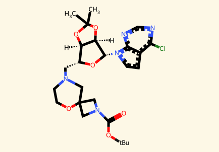 CC(C)(C)OC(=O)N1CC2(CN(C[C@H]3O[C@@H](n4ccc5c(Cl)ncnc54)[C@@H]4OC(C)(C)O[C@@H]43)CCO2)C1